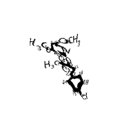 COc1cc(OC)nc(OC(C=Cc2ccc(Cl)cc2)C(C)(C)C)n1